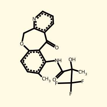 Cc1ccc2c(c1NC(=O)C(C)(O)C(F)(F)F)C(=O)c1cccnc1CO2